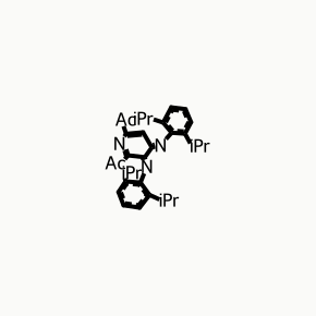 CC(=O)C1=CC(=Nc2c(C(C)C)cccc2C(C)C)C(=Nc2c(C(C)C)cccc2C(C)C)C(C(C)=O)=N1